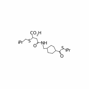 CC(C)CSC(CC(=O)NCC1CCC(C(=O)SC(C)C)CC1)C(=O)O